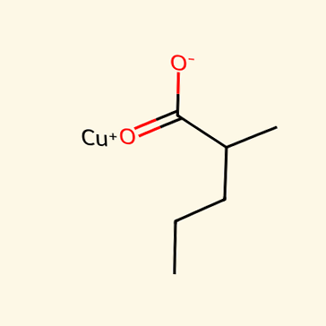 CCCC(C)C(=O)[O-].[Cu+]